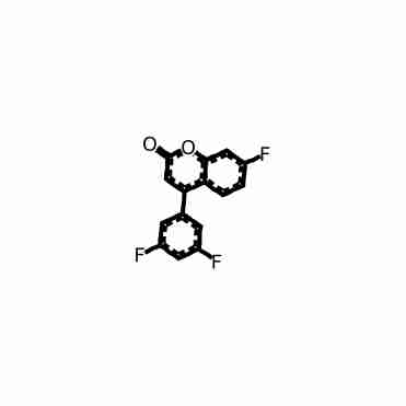 O=c1cc(-c2cc(F)cc(F)c2)c2ccc(F)cc2o1